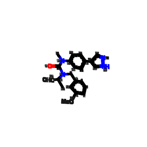 COc1cccc(CN(C(=O)N(C)c2ccc(-c3cn[nH]c3)cc2)C(C)C=O)c1